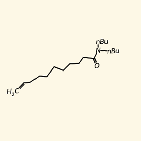 C=CCCCCCCCCC(=O)N(CCCC)CCCC